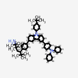 CC(C)(C)c1ccc(-n2c3ccc(-c4ccc(C(CC(C)(C)C(C)(C)N)C(C)(C)C)cc4)cc3c3cc(-c4ccc(N(c5ccccc5)c5ccccc5)cc4)ccc32)cc1